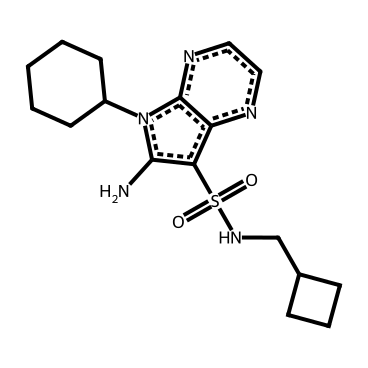 Nc1c(S(=O)(=O)NCC2CCC2)c2nccnc2n1C1CCCCC1